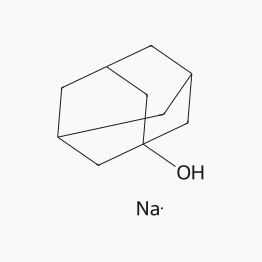 OC12CC3CC(CC(C3)C1)C2.[Na]